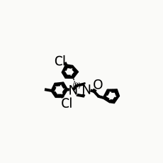 Cc1ccc(N2CCN(C(=O)Cc3ccccc3)C[C@H]2c2ccc(Cl)cc2)c(Cl)c1